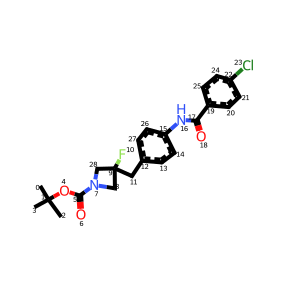 CC(C)(C)OC(=O)N1CC(F)(Cc2ccc(NC(=O)c3ccc(Cl)cc3)cc2)C1